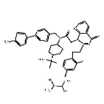 CCOC(=O)C(C)(C)N1CCC(N(Cc2ccc(-c3ccc(C(F)(F)F)cc3)cc2)C(=O)Cn2c(CCc3ccc(F)cc3F)nc(=O)c3cccnc32)CC1.O=C(O)C(O)C(O)C(=O)O